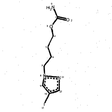 NC(=O)OCCCCn1cc(I)cn1